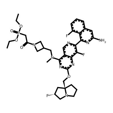 CCOP(=O)(CC(=O)N1CC(CN(C)c2nc(OC[C@@]34CCCN3C[C@H](F)C4)nc3c(F)c(-c4nc(N)cc5cccc(F)c45)ncc23)C1)OCC